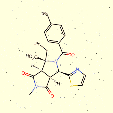 CC(C)C[C@@]1(C(=O)O)[C@@H]2C(=O)N(C)C(=O)[C@@H]2[C@H](c2nccs2)N1C(=O)c1ccc(C(C)(C)C)cc1